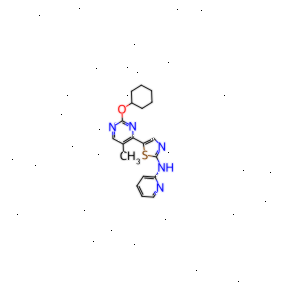 Cc1cnc(OC2CCCCC2)nc1-c1cnc(Nc2ccccn2)s1